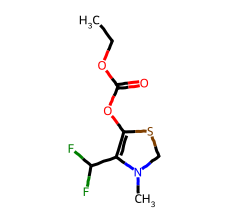 CCOC(=O)OC1=C(C(F)F)N(C)CS1